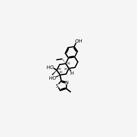 CC[C@@]12C[C@@](C)(O)[C@@](O)(c3nc(C)cs3)C[C@H]1CCc1cc(O)ccc12